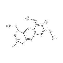 CCOC(=O)C(=Cc1cc(OC)c(O)c(OC)c1)CC(=O)O